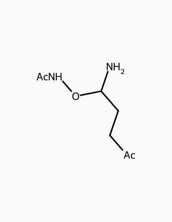 CC(=O)CCC(N)ONC(C)=O